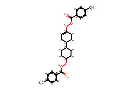 Cc1ccc(C(=O)OOC2=CCC(C3CCC(OOC(=O)c4ccc(C)cc4)CC3)CC2)cc1